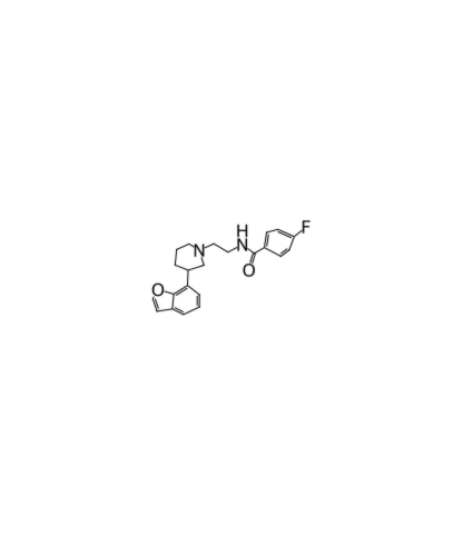 O=C(NCCN1CCCC(c2cccc3ccoc23)C1)c1ccc(F)cc1